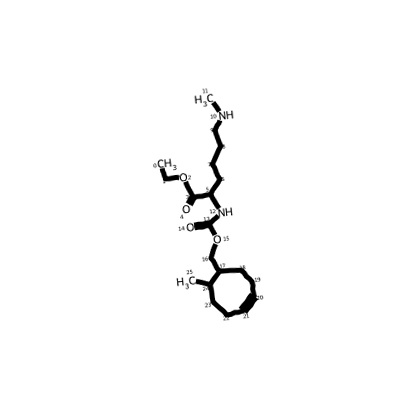 CCOC(=O)C(CCCCNC)NC(=O)OCC1CCC#CCCC1C